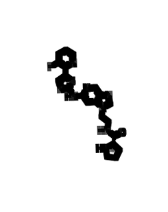 O=C(NCCn1cnc2cnc(Nc3ncc(-c4ncccc4F)s3)cc21)[C@@H]1CCCN1